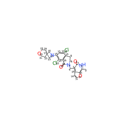 Cc1[nH]c(=O)c(CN2CCc3c(Cl)cc(N4CC5(CCOCC5)C4)c(Cl)c3C2=O)c2ccoc12